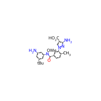 CON(C(=O)c1ccc(C)c(-n2cc(C(=O)O)c(N)n2)c1)c1cc(N)cc(C(C)(C)C)c1